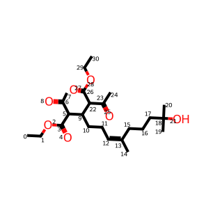 CCOC(=O)C(C(C)=O)C(CCC=C(C)CCCC(C)(C)O)C(C(C)=O)C(=O)OCC